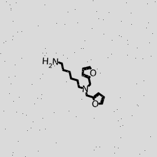 NCCCCCCN(Cc1ccco1)Cc1ccco1